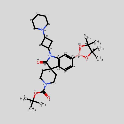 CC(C)(C)OC(=O)N1CCC2(CC1)C(=O)N(C1CC(N3CCCCC3)C1)c1cc(B3OC(C)(C)C(C)(C)O3)ccc12